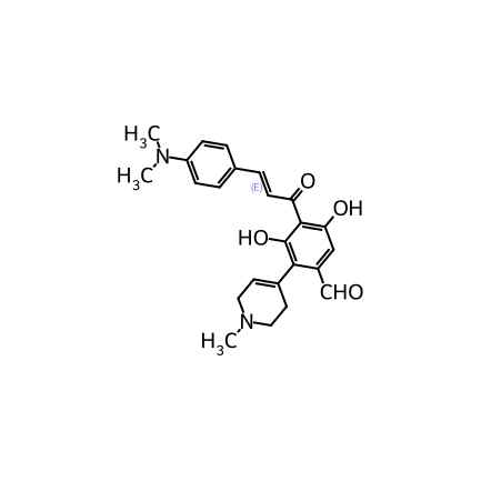 CN1CC=C(c2c(C=O)cc(O)c(C(=O)/C=C/c3ccc(N(C)C)cc3)c2O)CC1